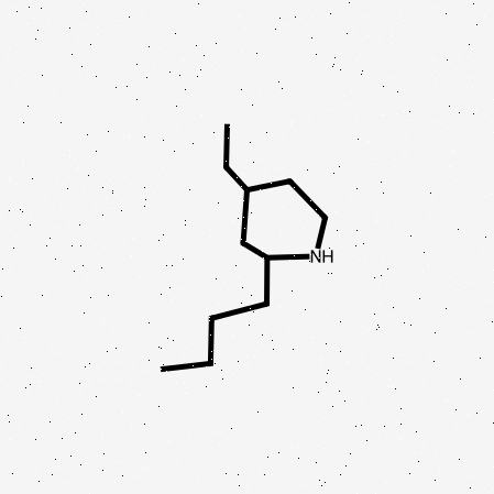 CCCCC1CC(CC)CCN1